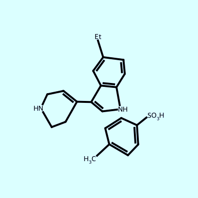 CCc1ccc2[nH]cc(C3=CCNCC3)c2c1.Cc1ccc(S(=O)(=O)O)cc1